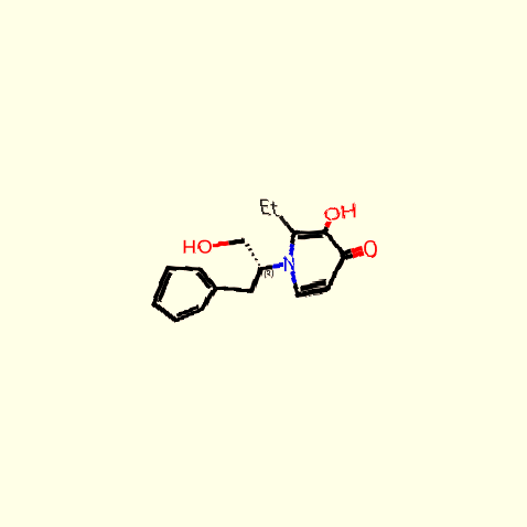 CCc1c(O)c(=O)ccn1[C@@H](CO)Cc1ccccc1